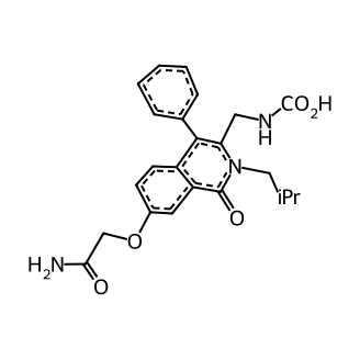 CC(C)Cn1c(CNC(=O)O)c(-c2ccccc2)c2ccc(OCC(N)=O)cc2c1=O